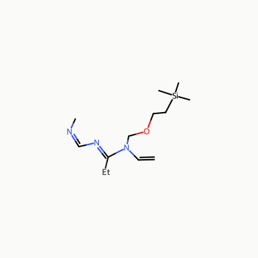 C=CN(COCC[Si](C)(C)C)/C(CC)=N/C=N\C